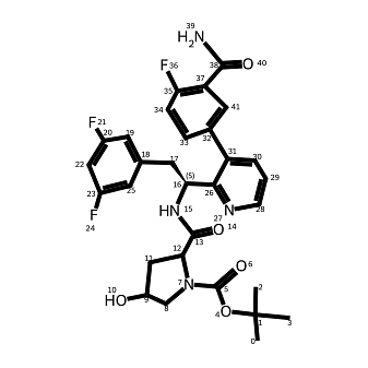 CC(C)(C)OC(=O)N1CC(O)CC1C(=O)N[C@@H](Cc1cc(F)cc(F)c1)c1ncccc1-c1ccc(F)c(C(N)=O)c1